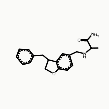 CC(NCc1ccc2c(c1)C(Cc1ccccc1)CO2)C(N)=O